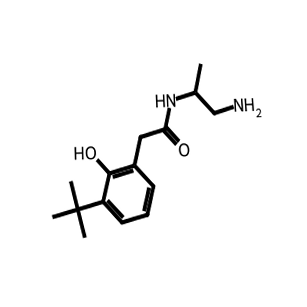 CC(CN)NC(=O)Cc1cccc(C(C)(C)C)c1O